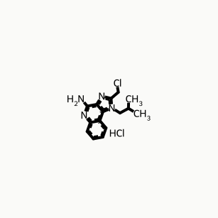 CC(C)Cn1c(CCl)nc2c(N)nc3ccccc3c21.Cl